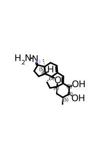 C[C@H]1C[C@@]23CC[C@@]4(O2)C(=CC[C@]2(C)/C(=N/N)CC[C@@H]42)C=C3[C@@H](O)[C@@H]1O